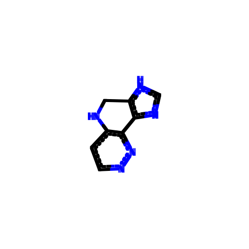 c1cc2c(nn1)-c1nc[nH]c1CN2